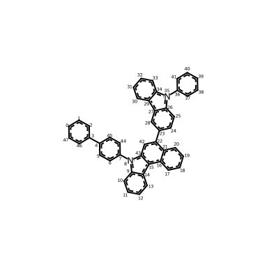 c1ccc(-c2ccc(-n3c4ccccc4c4c5ccccc5c(-c5ccc6c(c5)c5ccccc5n6-c5ccccc5)cc43)cc2)cc1